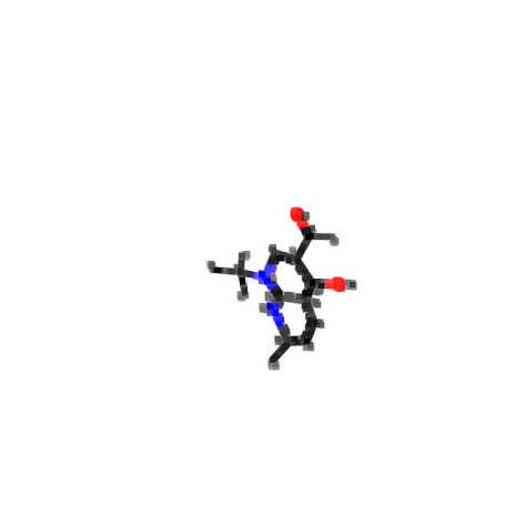 CC(=O)c1cn(C(C)(C)C)c2nc(C)ccc2c1=O